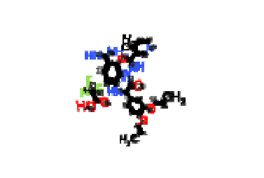 C=CCOc1ccc(C(Nc2ccc(C(=N)N)cc2)C(=O)NNC(=O)c2cnccc2C)cc1OCC=C.O=C(O)C(F)(F)F